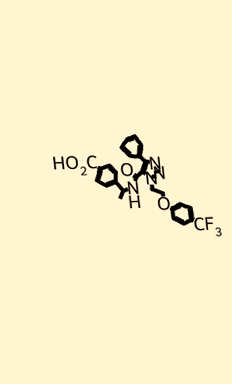 CC(NC(=O)c1c(-c2ccccc2)nnn1CCOc1ccc(C(F)(F)F)cc1)c1ccc(C(=O)O)cc1